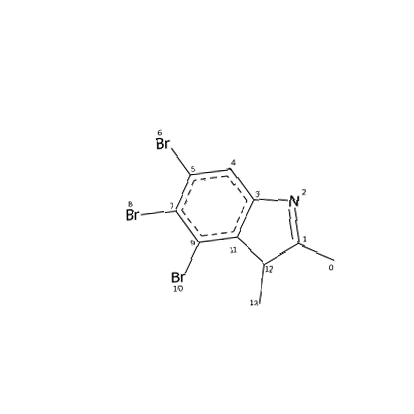 CC1=Nc2cc(Br)c(Br)c(Br)c2C1C